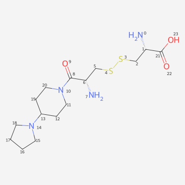 N[C@@H](CSSC[C@H](N)C(=O)N1CCC(N2CCCC2)CC1)C(=O)O